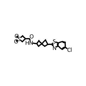 O=C(NC1CC2(C1)CC(c1nc3cc(Cl)ccc3s1)C2)C1CS(=O)(=O)C1